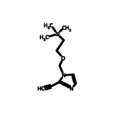 C#Cc1nccn1COCC[Si](C)(C)C